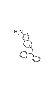 Nc1ccc2c(c1)CCN(CC(c1ccccc1)c1ccccc1)C2